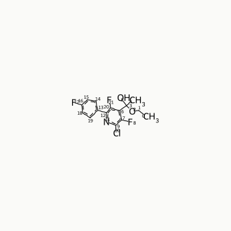 CCOC(C)(O)c1c(F)c(Cl)nc(-c2ccc(F)cc2)c1F